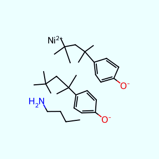 CC(C)(C)CC(C)(C)c1ccc([O-])cc1.CC(C)(C)CC(C)(C)c1ccc([O-])cc1.CCCCN.[Ni+2]